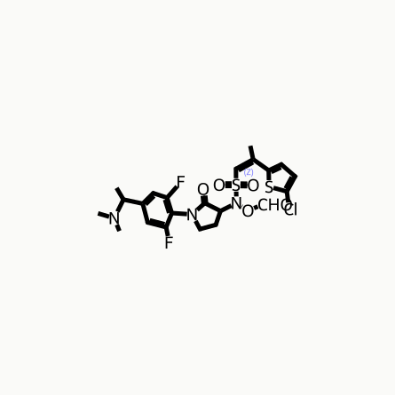 C/C(=C/S(=O)(=O)N(OC=O)C1CCN(c2c(F)cc(C(C)N(C)C)cc2F)C1=O)c1ccc(Cl)s1